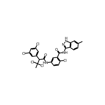 Cc1ccc2c(NC(=O)c3cc(NC(=O)C(c4cc(Cl)cc(Cl)c4)C(C)(Cl)Cl)ccc3Cl)n[nH]c2c1